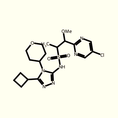 COC(c1ncc(Cl)cn1)C(C)S(=O)(=O)Nc1nnc(C2CCC2)n1C1CCOCC1